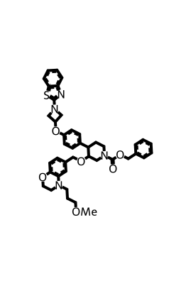 COCCCN1CCOc2ccc(COC3CN(C(=O)OCc4ccccc4)CCC3c3ccc(OC4CN(c5nc6ccccc6s5)C4)cc3)cc21